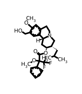 COc1cc2c(cc1CO)[C@H]1C[C@@H](OC(=O)C(OC)(c3ccccc3)C(F)(F)F)[C@@H](CC(C)C)CN1CC2